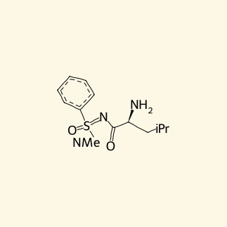 CNS(=O)(=NC(=O)[C@@H](N)CC(C)C)c1ccccc1